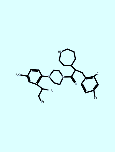 CC(C)CC(N)c1cc(C(F)(F)F)ccc1N1CCN(C(=O)C(Cc2ccc(Cl)cc2Cl)C2CCCNCC2)CC1